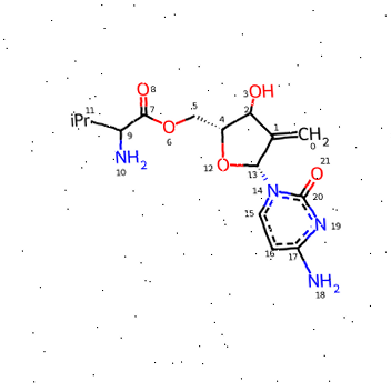 C=C1C(O)[C@@H](COC(=O)C(N)C(C)C)O[C@H]1n1ccc(N)nc1=O